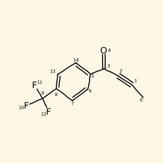 CC#CC(=O)c1ccc(C(F)(F)F)cc1